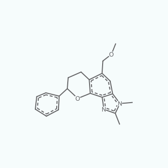 COCc1cc2c(nc(C)n2C)c2c1CCC(c1ccccc1)O2